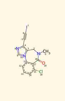 CN1Cc2c(C#CI)ncn2-c2cccc(Cl)c2C1=O